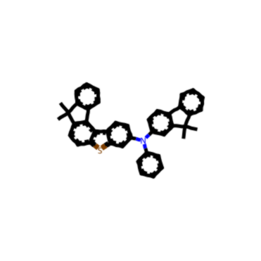 CC1(C)c2ccccc2-c2ccc(N(c3ccccc3)c3ccc4c(c3)sc3ccc5c(c34)-c3ccccc3C5(C)C)cc21